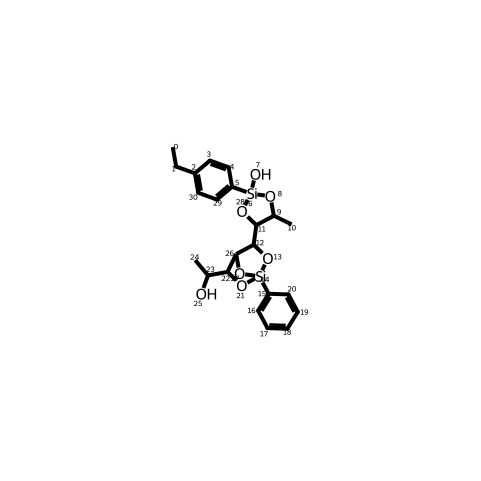 CCc1ccc([Si]2(O)OC(C)C(C3O[Si]4(c5ccccc5)OC(C(C)O)C3O4)O2)cc1